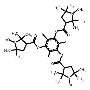 CN1C(C)(C)CC(C(=O)Oc2c(I)c(OC(=O)C3CC(C)(C)N(O)C3(C)C)c(I)c(OC(=O)C3CC(C)(C)N(O)C3(C)C)c2I)C1(C)C